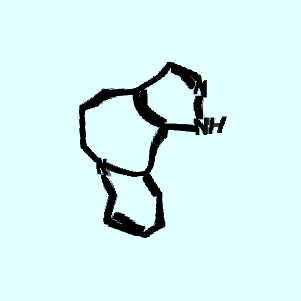 c1cc2n(c1)CCCc1cn[nH]c1-2